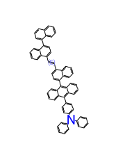 C(=C\c1ccc(-c2c3ccccc3c(-c3ccc(N(c4ccccc4)c4ccccc4)cc3)c3ccccc23)c2ccccc12)/c1ccc(-c2cccc3ccccc23)c2ccccc12